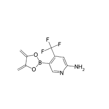 C=C1OB(c2cnc(N)cc2C(F)(F)F)OC1=C